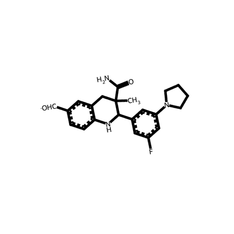 CC1(C(N)=O)Cc2cc([C]=O)ccc2NC1c1cc(F)cc(N2CCCC2)c1